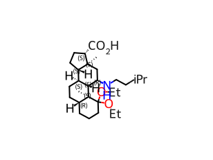 CCOC1(OCC)CCC[C@@H]2CC[C@@H]3[C@H]([C@H](NCCC(C)C)C[C@]4(C)[C@@H](C(=O)O)CC[C@@H]34)[C@]21C